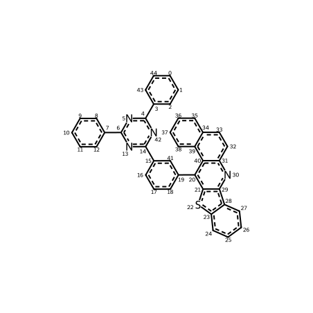 c1ccc(-c2nc(-c3ccccc3)nc(-c3cccc(-c4c5sc6ccccc6c5nc5ccc6ccccc6c45)c3)n2)cc1